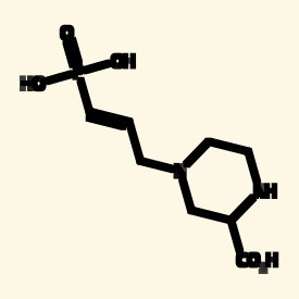 O=C(O)C1CN(CC=CP(=O)(O)O)CCN1